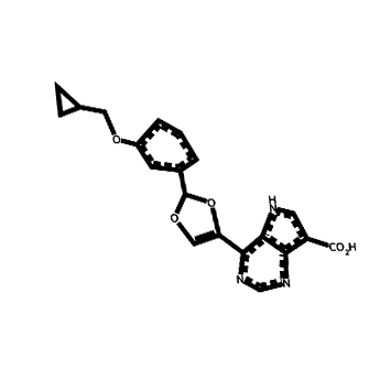 O=C(O)c1c[nH]c2c(C3=COC(c4cccc(OCC5CC5)c4)O3)ncnc12